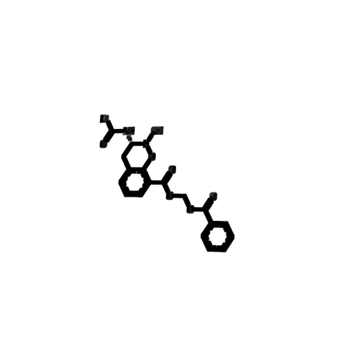 CCC(=O)N[C@H]1Cc2cccc(C(=O)OCOC(=O)c3ccccc3)c2OB1O